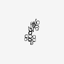 C=CC(=O)NC1CCOCC1Nc1ncc2ccc(C(=O)c3c(Cl)c(OC)cc(OC)c3Cl)cc2n1